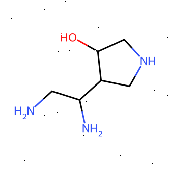 NCC(N)C1CNCC1O